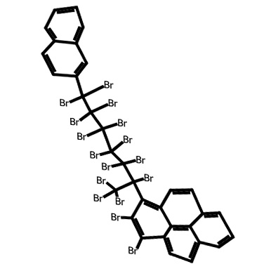 Brc1c(Br)c2ccc3cccc4ccc(c1C(Br)(C(Br)(Br)Br)C(Br)(Br)C(Br)(Br)C(Br)(Br)C(Br)(Br)C(Br)(Br)c1ccc5ccccc5c1)c2c34